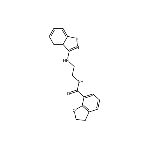 O=C(NCCNc1nsc2ccccc12)c1cccc2c1OCC2